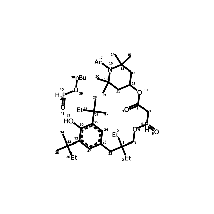 CCC(CC)(CO[PH](=O)CC(=O)OC1CC(C)(C)N(C(C)=O)C(C)(C)C1)Cc1cc(C(C)(C)CC)c(O)c(C(C)(C)CC)c1.CCCCO[PH2]=O